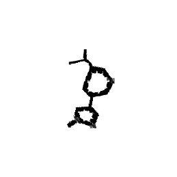 CC(C)c1cncc(-c2cnn(C)c2)c1